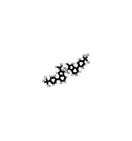 CC1=C(S(C)(C)C2=C(C(C)C)Cc3c2cccc3-c2ccc(C(C)(C)C)cc2)c2cccc(-c3ccc(C(C)(C)C)cc3)c2C1